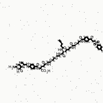 C#CCCC(=O)N[C@@H](CCCCNC(=O)COCCNC(=O)c1ccc(C(=O)CCS(=O)(=O)c2ccc(C)cc2)cc1)C(=O)NCCOCCOCCNC(=O)CC[C@H](NC(=O)c1ccc(NCc2cnc3nc(N)[nH]c(=O)c3n2)cc1)C(=O)O